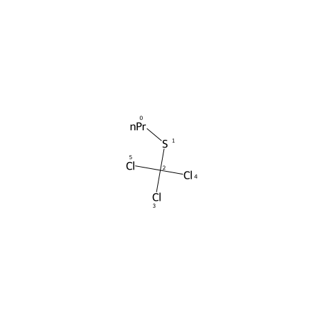 CCCSC(Cl)(Cl)Cl